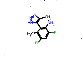 Cc1nn[nH]c1-c1c(C)c(Br)cc(F)c1N